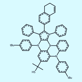 CC(C)(C)c1ccc(N2c3ccccc3B3c4c2cc(C(C)(C)S)cc4N(c2ccc(C(C)(C)C)cc2)c2c(-c4ccccc4)c(-c4ccc5c(c4)C=CCC5)n(-c4ccccc4)c23)cc1